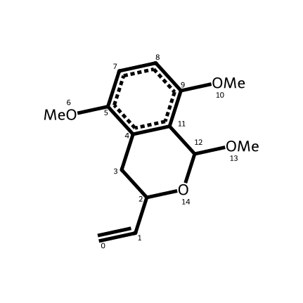 C=CC1Cc2c(OC)ccc(OC)c2C(OC)O1